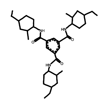 CCC1CCC(NC(=O)c2cc(C(=O)NC3CCC(CC)CC3C)cc(C(=O)NC3CCC(CC)CC3C)c2)C(C)C1